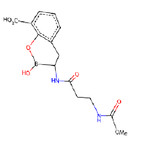 COC(=O)NCCC(=O)NC1Cc2cccc(C(=O)O)c2OB1O